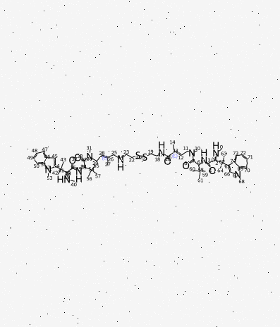 CN[C@H](C(=O)NC(C(=O)N(C)C/C=C(\C)C(=O)NCCSSCCNC/C(C)=C/CN(C)C(=O)[C@@H](NC(=O)[C@@H](NC)C(C)(C)c1cc2ccccc2n1C)C(C)(C)C)C(C)(C)C)C(C)(C)c1cn(C)c2ccccc12